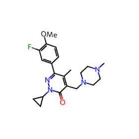 COc1ccc(-c2nn(C3CC3)c(=O)c(CN3CCN(C)CC3)c2C)cc1F